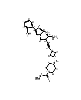 CC(C)(C)OC(=O)N1CCC(O[C@H]2C[C@H](C#Cc3cn4cc(-c5ccccc5O)nc4nc3N)C2)CC1